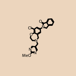 COc1ncc(CN2CCOc3c(Cl)cc(N4Cc5ccccc5C4=O)cc3C2)cn1